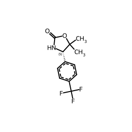 CC1(C)OC(=O)N[C@H]1c1ccc(C(F)(F)F)cc1